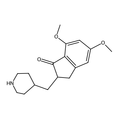 COc1cc2c(c(OC)c1)C(=O)C(CC1CCNCC1)C2